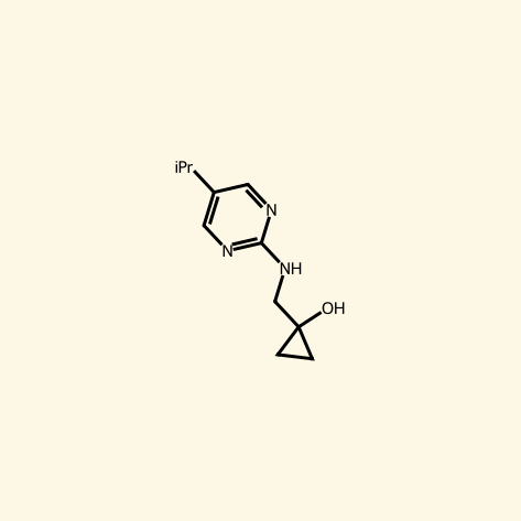 CC(C)c1cnc(NCC2(O)CC2)nc1